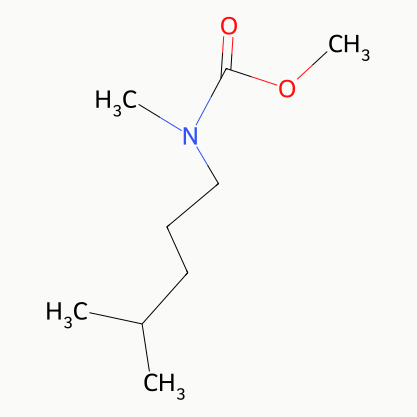 COC(=O)N(C)CCCC(C)C